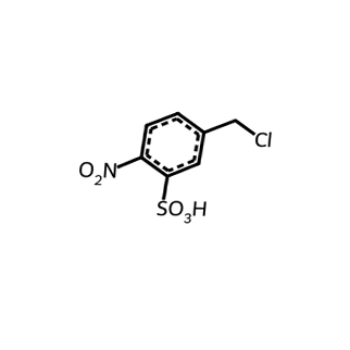 O=[N+]([O-])c1ccc(CCl)cc1S(=O)(=O)O